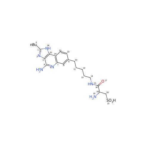 CCCCc1nc2c(N)nc3cc(CCCCCNC(=O)C(N)CS(=O)(=O)O)ccc3c2[nH]1